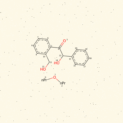 CCCOCCC.O=C(c1ccccc1CO)C(O)c1ccccc1